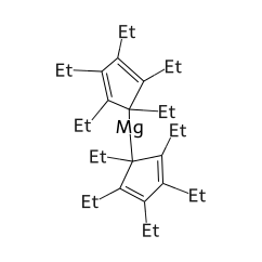 CCC1=C(CC)[C](CC)([Mg][C]2(CC)C(CC)=C(CC)C(CC)=C2CC)C(CC)=C1CC